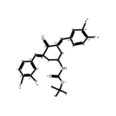 CC(C)(C)OC(=O)NC1C/C(=C\c2ccc(F)c(F)c2)C(=O)/C(=C/c2ccc(F)c(F)c2)C1